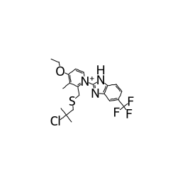 CCOc1cc[n+](-c2nc3cc(C(F)(F)F)ccc3[nH]2)c(CSCC(C)(C)Cl)c1C